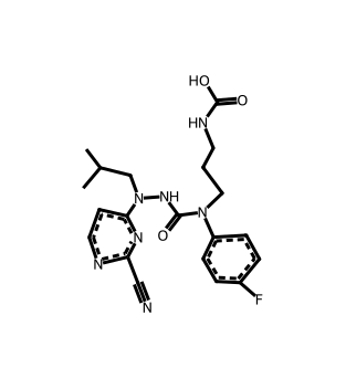 CC(C)CN(NC(=O)N(CCCNC(=O)O)c1ccc(F)cc1)c1ccnc(C#N)n1